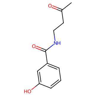 CC(=O)CCNC(=O)c1cccc(O)c1